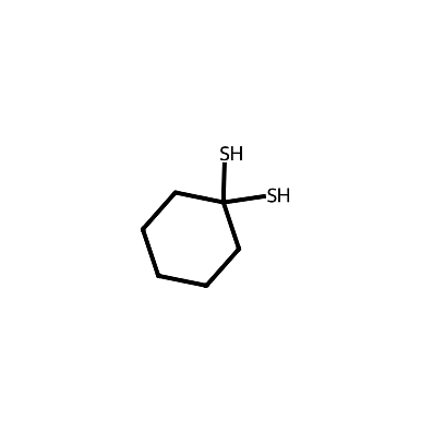 SC1(S)CCCCC1